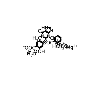 Cn1c(=O)c2[nH]cnc2n(C)c1=O.O.O.O.O.O.O=C([O-])c1ccccc1O.O=C([O-])c1ccccc1O.[Mg+2]